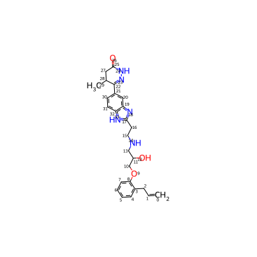 C=CCc1ccccc1OCC(O)CNCCc1nc2cc(C3=NNC(=O)CC3C)ccc2[nH]1